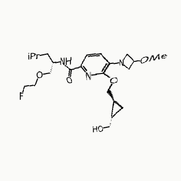 COC1CN(c2ccc(C(=O)N[C@H](COCCF)CC(C)C)nc2OC[C@H]2C[C@@H]2CO)C1